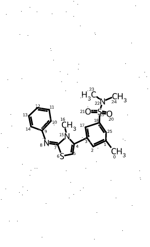 Cc1cc(-c2csc(=Nc3ccccc3)n2C)cc(S(=O)(=O)N(C)C)c1